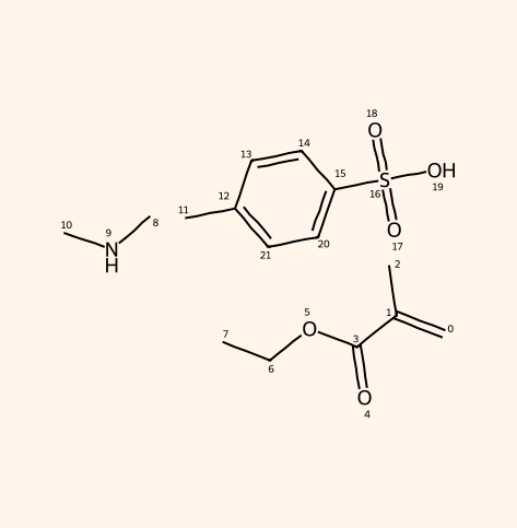 C=C(C)C(=O)OCC.CNC.Cc1ccc(S(=O)(=O)O)cc1